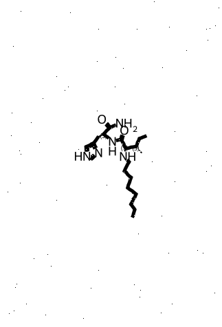 CCCCCCCCN[C@H](C(=O)N[C@@H](Cc1c[nH]cn1)C(N)=O)[C@@H](C)CC